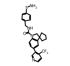 NSc1ccc(CNC(=O)N2CC3(CCCC3)c3cc(-c4cnccc4C(F)(F)F)ccc32)cc1